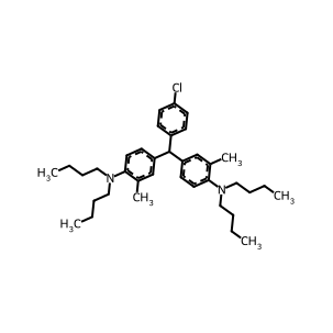 CCCCN(CCCC)c1ccc(C(c2ccc(Cl)cc2)c2ccc(N(CCCC)CCCC)c(C)c2)cc1C